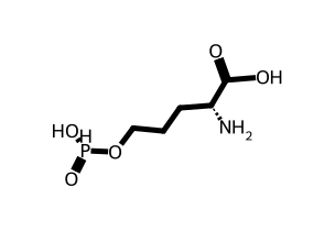 N[C@H](CCCO[PH](=O)O)C(=O)O